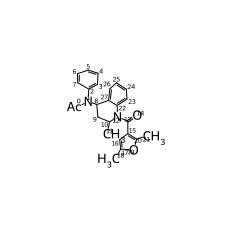 CC(=O)N(c1ccccc1)C1CC(C)N(C(=O)c2cc(C)oc2C)c2ccccc21